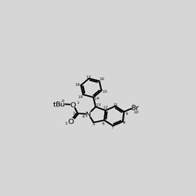 CC(C)(C)OC(=O)N1Cc2ccc(Br)cc2C1c1ccccc1